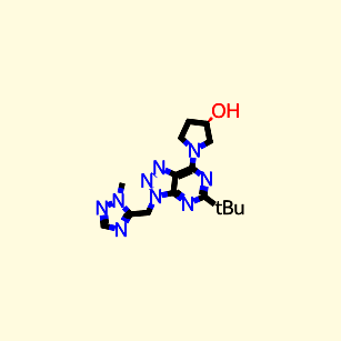 Cn1ncnc1Cn1nnc2c(N3CC[C@H](O)C3)nc(C(C)(C)C)nc21